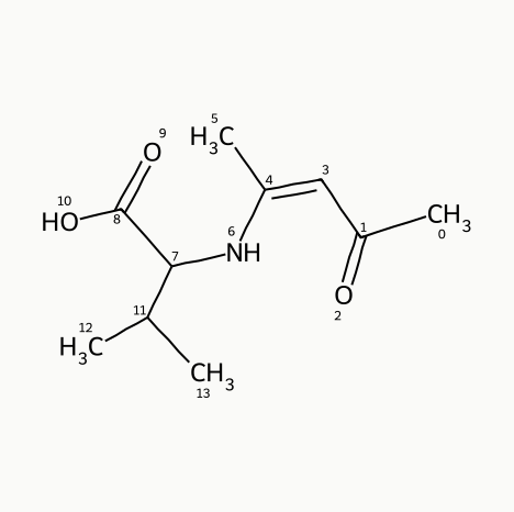 CC(=O)C=C(C)NC(C(=O)O)C(C)C